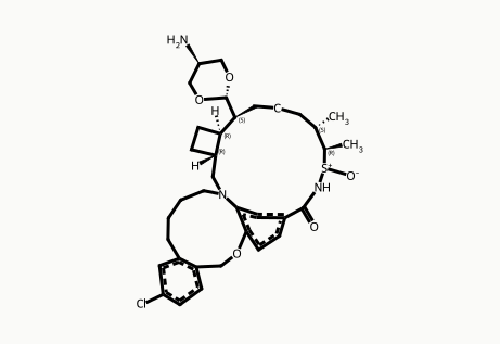 C[C@@H]1[C@@H](C)CCC[C@H]([C@H]2OC[C@H](N)CO2)[C@@H]2CC[C@H]2CN2CCCCc3cc(Cl)ccc3COc3ccc(cc32)C(=O)N[S+]1[O-]